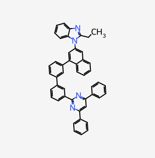 CCc1nc2ccccc2n1-c1cc(-c2cccc(-c3cccc(-c4nc(-c5ccccc5)cc(-c5ccccc5)n4)c3)c2)c2ccccc2c1